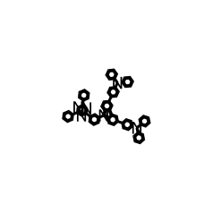 c1ccc(-c2nc(-c3ccccc3)nc(-c3cccc(-n4c5ccc(-c6ccc(N(c7ccccc7)c7ccccc7)cc6)cc5c5cc(-c6ccc(N(c7ccccc7)c7ccccc7)cc6)ccc54)c3)n2)cc1